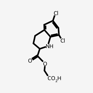 O=C(O)COC(=O)C1CCc2cc(Cl)cc(Cl)c2N1